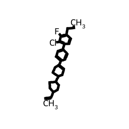 C/C=C/C1CCC(C2CC=C(c3ccc(-c4ccc(CCC)c(F)c4Cl)cc3)CC2)CC1